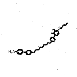 CCCCOc1ccc(-c2ccc(CCCCCCCCCc3ccc(-c4ccc(N)cc4)cc3)cc2)c(C)c1C